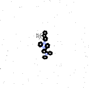 CC1(C)c2ccccc2-c2ccc(N3c4ccccc4-n4c5ccc6c(c7ccccc7n6-c6ccccc6)c5c5cccc3c54)cc21